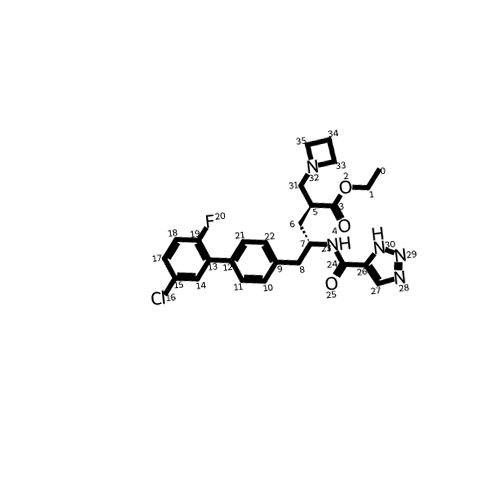 CCOC(=O)[C@@H](C[C@@H](Cc1ccc(-c2cc(Cl)ccc2F)cc1)NC(=O)c1cnn[nH]1)CN1CCC1